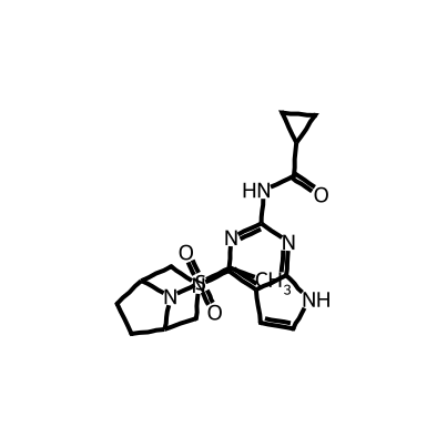 CCS(=O)(=O)N1C2CCC1CN(c1nc(NC(=O)C3CC3)nc3[nH]ccc13)C2